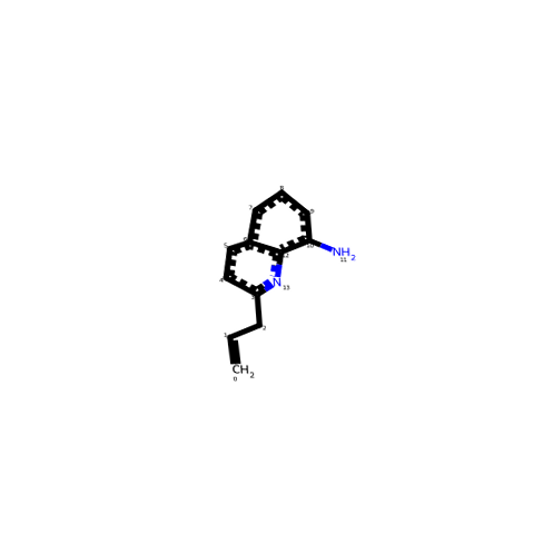 C=CCc1ccc2cccc(N)c2n1